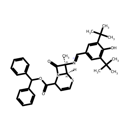 CC(C)(C)c1cc(/C=N/[C@]2(C)C(=O)N3C(C(=O)OC(c4ccccc4)c4ccccc4)C=CS[C@@H]32)cc(C(C)(C)C)c1O